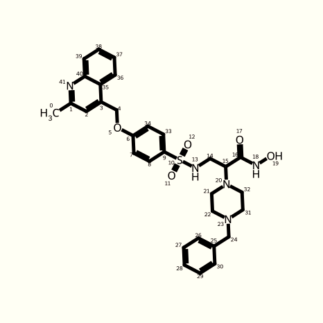 Cc1cc(COc2ccc(S(=O)(=O)NCC(C(=O)NO)N3CCN(Cc4ccccc4)CC3)cc2)c2ccccc2n1